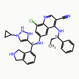 CC[C@@H](Nc1c(C#N)cnc2c(Cl)cc(N[C@H](C3=CN(C4CC4)NN3)c3cccc4c3CNC4)cc12)c1ccccc1